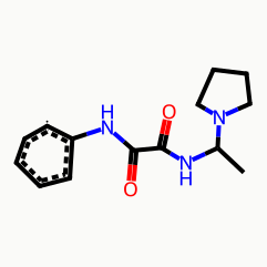 CC(NC(=O)C(=O)Nc1[c]cccc1)N1CCCC1